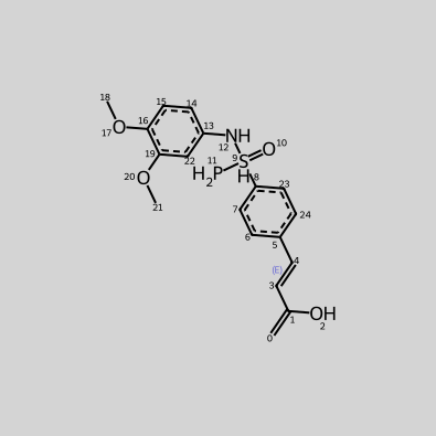 C=C(O)/C=C/c1ccc([SH](=O)(P)Nc2ccc(OC)c(OC)c2)cc1